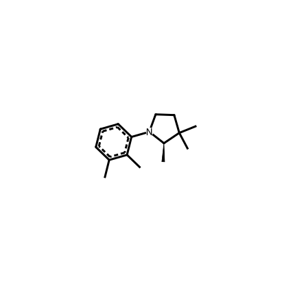 Cc1cccc(N2CCC(C)(C)[C@H]2C)c1C